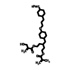 C=C(C)C(=O)OCCC(CCOC(=O)C(=C)CO)CC1CCC(OCCCC2CCC(CCCCC)CC2)CC1